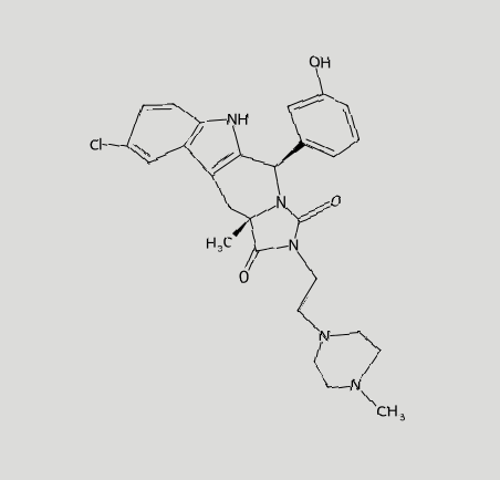 CN1CCN(CCN2C(=O)N3[C@H](c4cccc(O)c4)c4[nH]c5ccc(Cl)cc5c4C[C@@]3(C)C2=O)CC1